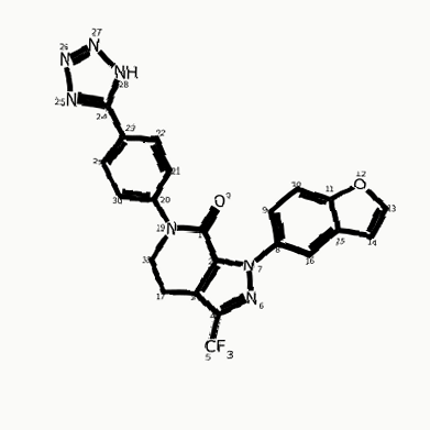 O=C1c2c(c(C(F)(F)F)nn2-c2ccc3occc3c2)CCN1c1ccc(-c2nnn[nH]2)cc1